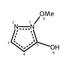 COn1nccc1O